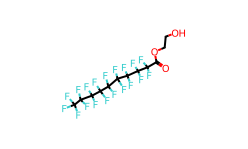 O=C(OCCO)C(F)(F)C(F)(F)C(F)(F)C(F)(F)C(F)(F)C(F)(F)C(F)(F)C(F)(F)C(F)(F)F